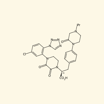 CC(C)N1CCN(c2ccc(C[C@@H](C(=O)O)N3CCN(c4cc(Cl)ccc4-n4cnnn4)C(=O)C3=O)cc2)C(=O)C1